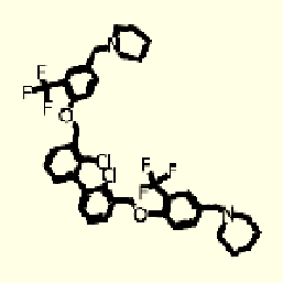 FC(F)(F)c1cc(CN2CCCCC2)ccc1OCc1cccc(-c2cccc(COc3ccc(CN4CCCCC4)cc3C(F)(F)F)c2Cl)c1Cl